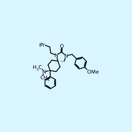 COc1ccc(CN2C[C@]3(CC[C@](c4ccccc4)(N(C)C)CC3)N(CCC(C)C)C2=O)cc1